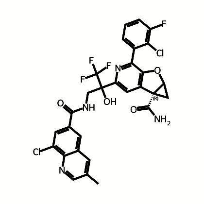 Cc1cnc2c(Cl)cc(C(=O)NCC(O)(c3cc4c(c(-c5cccc(F)c5Cl)n3)OC3C[C@@]43C(N)=O)C(F)(F)F)cc2c1